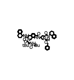 CC[C@@H](C)C(=O)N[C@H](C(=O)N1Cc2cc(C(=O)NC3C[C@@H](C(=O)NC4CCCc5ccccc54)N(C(=O)OCc4ccccc4)C3)ccc2C[C@H]1C(=O)NC1CCCc2ccccc21)C(C)(C)C